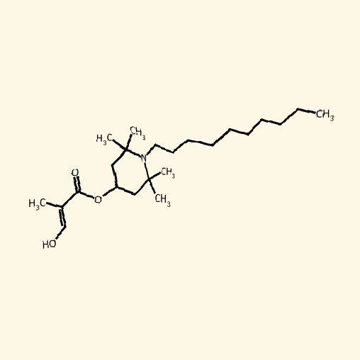 CCCCCCCCCCN1C(C)(C)CC(OC(=O)C(C)=CO)CC1(C)C